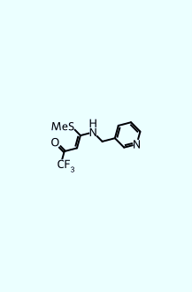 CSC(=CC(=O)C(F)(F)F)NCc1cccnc1